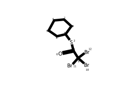 O=C(SC1CCCCC1)C(Br)(Br)Br